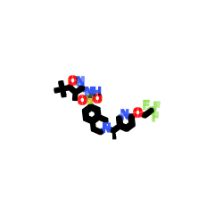 CC1C(NS(=O)(=O)c2ccc3c(c2)CN([C@H](C)c2ccc(OCC(F)(F)F)nc2)CC3)=NOC1C(C)(C)C